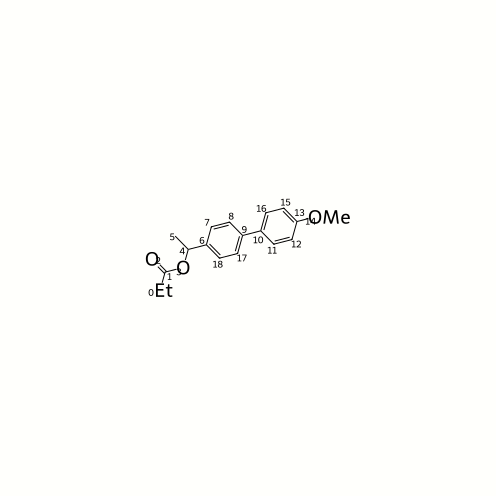 CCC(=O)OC(C)c1ccc(-c2ccc(OC)cc2)cc1